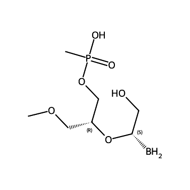 B[C@@H](CO)O[C@H](COC)COP(C)(=O)O